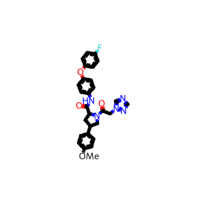 COc1ccc(C2CC(C(=O)Nc3ccc(Oc4ccc(F)cc4)cc3)N(C(=O)Cn3cncn3)C2)cc1